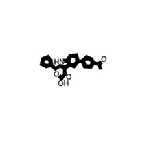 CC(=O)c1ccc(-c2ccc3[nH]c(Cc4ccccc4)c(C(=O)C(=O)O)c3c2)cc1